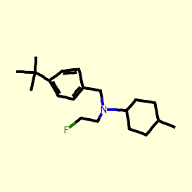 CC1CCC(N(CCF)Cc2ccc(C(C)(C)C)cc2)CC1